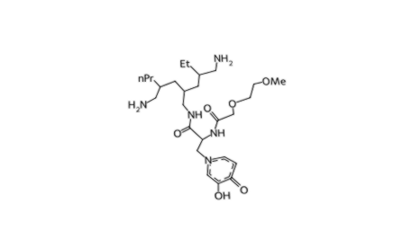 CCCC(CN)CC(CNC(=O)C(Cn1ccc(=O)c(O)c1)NC(=O)COCCOC)CC(CC)CN